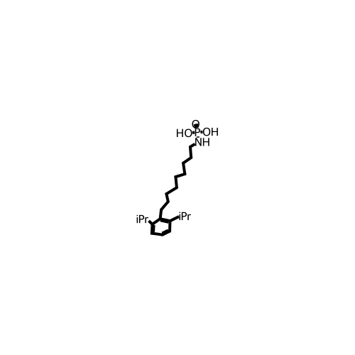 CC(C)c1cccc(C(C)C)c1CCCCCCCCCNP(=O)(O)O